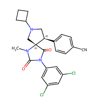 CN1C(=O)N(c2cc(Cl)cc(Cl)c2)C(=O)[C@]12CN(C1CCC1)C[C@H]2c1ccc(C#N)cc1